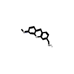 C/N=c1\ccc2cc3ccc(CN)cc3oc-2c1